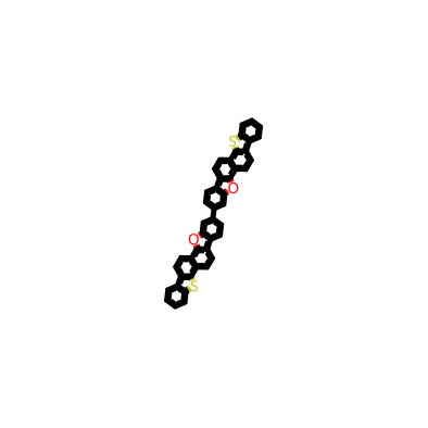 c1ccc2c(c1)sc1c2ccc2c1ccc1c3ccc(-c4ccc5c(c4)oc4c5ccc5c4ccc4c6ccccc6sc45)cc3oc12